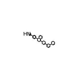 C1=CC2=C(C3CC=C(C4=CC=CC(C5C=CCCC5)C4)CC3)CCC(c3ccc(C4=CNC4)cc3)C2C=C1